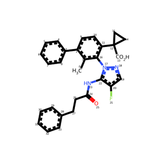 Cc1c(-c2ccccc2)ccc(C2(C(=O)O)CC2)c1-n1ncc(F)c1NC(=O)CCc1ccccc1